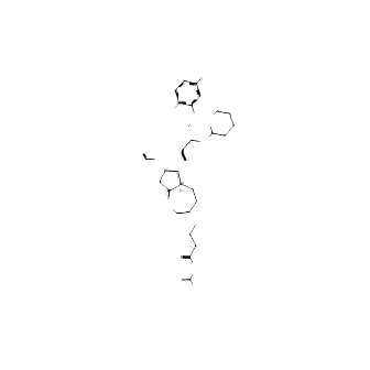 CC(C)OC(=O)CCC[C@H]1CC[C@@H]2[C@@H](C=C[C@H](COc3cc(F)ccc3F)OC3CCCCO3)[C@@H](OC=O)C[C@@H]2OC1